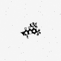 CCN(c1cc(S(C)(=O)=O)ccc1C(=O)C(=CN(C)C)C(=O)C1CC1)S(C)(=O)=O